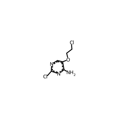 Nc1nc(Cl)ncc1OCCCl